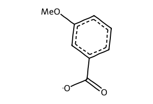 COc1cccc(C([O])=O)c1